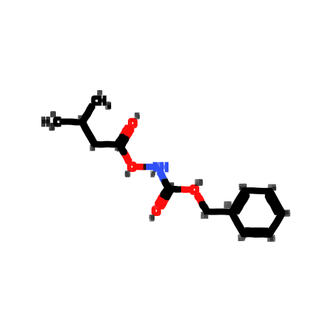 CC(C)CC(=O)ONC(=O)OCc1ccccc1